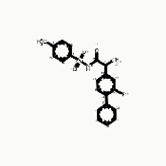 Cc1ccc(S(=O)(=O)NC(=O)C(C)c2ccc(-c3ccccc3)c(F)c2)cc1